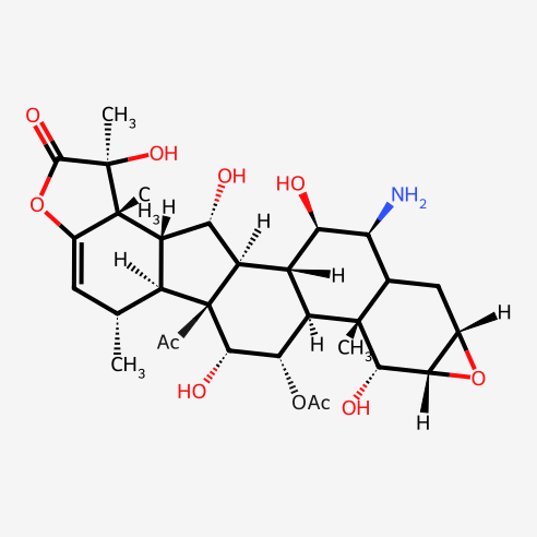 CC(=O)O[C@H]1[C@H]2[C@@H]([C@@H](O)[C@@H](N)C3C[C@@H]4O[C@@H]4[C@H](O)[C@@]32C)[C@@H]2[C@@H](O)[C@@H]3[C@H]([C@H](C)C=C4OC(=O)[C@@](C)(O)[C@@]43C)[C@@]2(C(C)=O)[C@H]1O